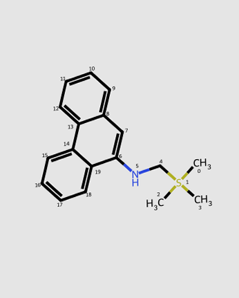 CS(C)(C)CNc1cc2ccccc2c2ccccc12